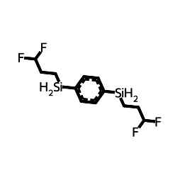 FC(F)CC[SiH2]c1ccc([SiH2]CCC(F)F)cc1